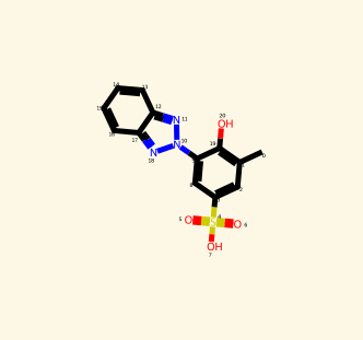 Cc1cc(S(=O)(=O)O)cc(-n2nc3ccccc3n2)c1O